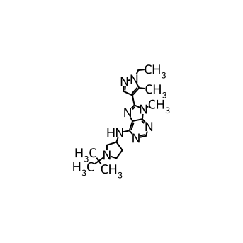 CCn1ncc(-c2nc3c(NC4CCN(C(C)(C)C)C4)ncnc3n2C)c1C